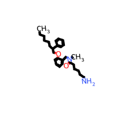 CCCCCCC(COc1ccccc1CN(C)C(=O)CCCCCN)c1ccccc1